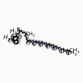 CC(C)=CCC/C(C)=C/CC/C(C)=C/CC/C(C)=C/CC/C(C)=C/CC/C(C)=C/CCC(C)CCCC(C)CCC/C(C)=C/CC1=C(C)C(=O)c2ccccc2C1=O